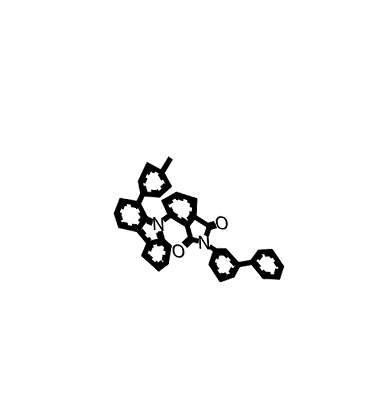 Cc1ccc(-c2cccc3c4ccccc4n(-c4cccc5c4C(=O)N(c4cccc(-c6ccccc6)c4)C5=O)c23)cc1